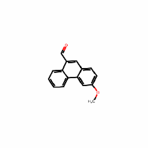 COc1ccc2cc(C=O)c3ccccc3c2c1